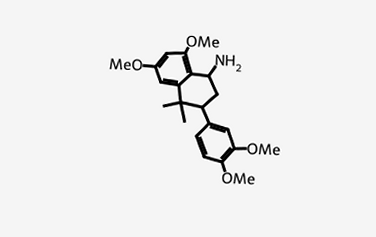 COc1cc(OC)c2c(c1)C(C)(C)C(c1ccc(OC)c(OC)c1)CC2N